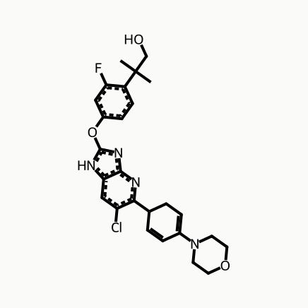 CC(C)(CO)c1ccc(Oc2nc3nc(C4C=CC(N5CCOCC5)=CC4)c(Cl)cc3[nH]2)cc1F